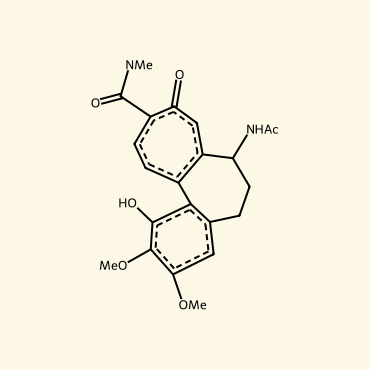 CNC(=O)c1ccc2c(cc1=O)C(NC(C)=O)CCc1cc(OC)c(OC)c(O)c1-2